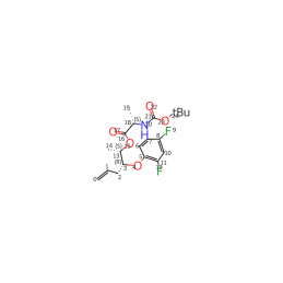 C=CC[C@@H](Oc1ccc(F)cc1F)[C@H](C)OC(=O)[C@H](C)NC(=O)OC(C)(C)C